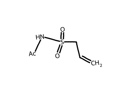 C=CCS(=O)(=O)NC(C)=O